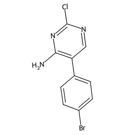 Nc1nc(Cl)ncc1-c1ccc(Br)cc1